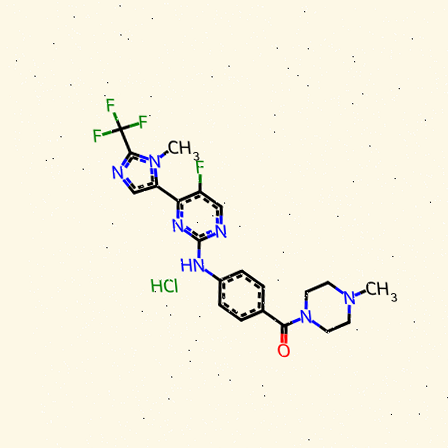 CN1CCN(C(=O)c2ccc(Nc3ncc(F)c(-c4cnc(C(F)(F)F)n4C)n3)cc2)CC1.Cl